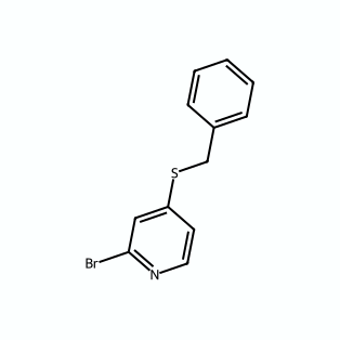 Brc1cc(SCc2ccccc2)ccn1